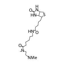 CNCCN(C)C(=O)CCCCCNC(=O)CCCCC1SCC2NC(=O)NC21